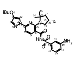 CC(C)COc1cnn(-c2ccc(C(=O)NS(=O)(=O)c3cccc(N)c3)c(N3C[C@@H](C)CC3(C)C)n2)c1